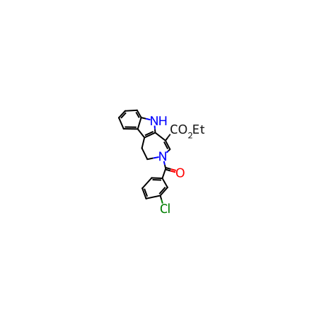 CCOC(=O)C1=CN(C(=O)c2cccc(Cl)c2)CCc2c1[nH]c1ccccc21